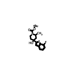 CC1CC(O)(c2cc3cccc(F)c3s2)CCN1C(=O)OC(C)(C)C